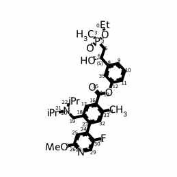 CCOP(C)(=O)C[C@@H](O)c1cccc(OC(=O)c2cc(CN(C(C)C)C(C)C)c(-c3cc(OC)ncc3F)cc2C)c1